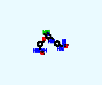 CONC(=N)c1ccc(NCc2cnc(C)c(OCc3cccc(C(=N)NOC)c3)c2C)cc1.Cl